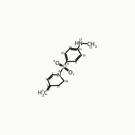 C=C1C=CN(S(=O)(=O)c2ccc(NC)cc2)CC1